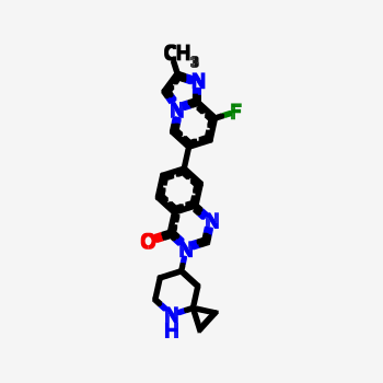 Cc1cn2cc(-c3ccc4c(=O)n(C5CCNC6(CC6)C5)cnc4c3)cc(F)c2n1